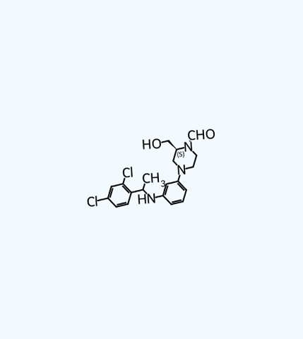 CC(Nc1cccc(N2CCN(C=O)[C@H](CO)C2)c1)c1ccc(Cl)cc1Cl